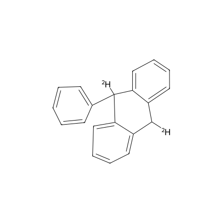 [2H]C1c2ccccc2C([2H])(c2ccccc2)c2ccccc21